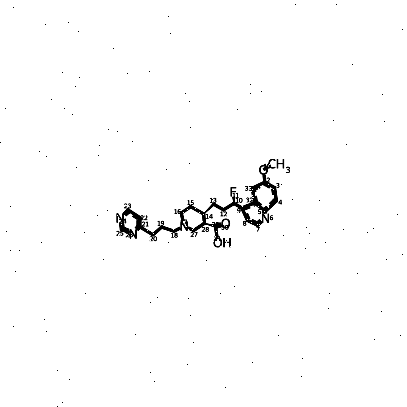 COc1ccc2nccc([C@H](F)CC[C@@H]3CCN(CCCc4ccncn4)C[C@@H]3C(=O)O)c2c1